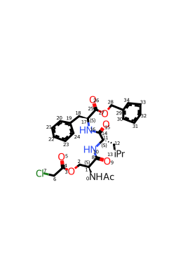 CC(=O)N[C@@H](COC(=O)CCl)C(=O)N[C@@H](CC(C)C)C(=O)N[C@@H](Cc1ccccc1)C(=O)OCc1ccccc1